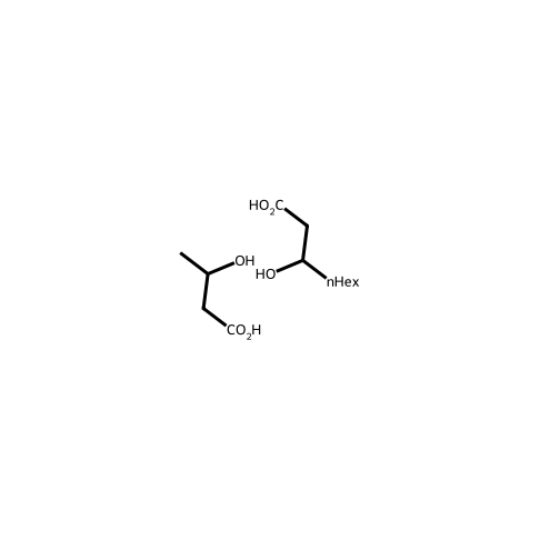 CC(O)CC(=O)O.CCCCCCC(O)CC(=O)O